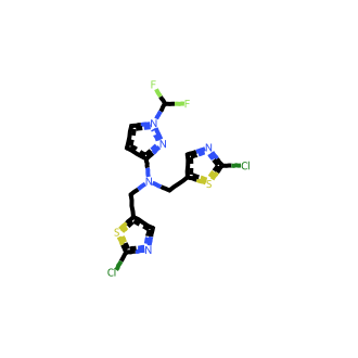 FC(F)n1ccc(N(Cc2cnc(Cl)s2)Cc2cnc(Cl)s2)n1